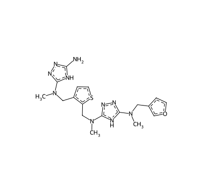 CN(Cc1ccsc1CN(C)c1nnc(N(C)Cc2ccoc2)[nH]1)c1nnc(N)[nH]1